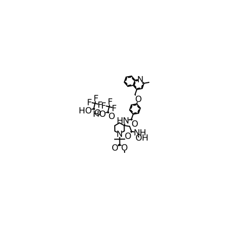 COC(=O)C(C)(C)N1CCCC(CC(=O)NO)(NC(=O)c2ccc(OCc3cc(C)nc4ccccc34)cc2)C1.O=C(O)C(F)(F)F.O=C(O)C(F)(F)F